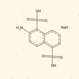 Nc1ccc2c(S(=O)(=O)O)cccc2c1S(=O)(=O)O.[NaH]